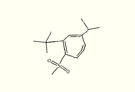 CC(C)c1ccc(S(C)(=O)=O)c(C(C)(C)C)c1